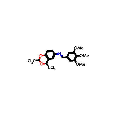 COc1cc(C=Nc2ccc3c(c2)C(C(Cl)(Cl)Cl)OC(C(Cl)(Cl)Cl)O3)cc(OC)c1OC